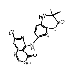 CC1(C)Nc2ccc(Nc3nc(Cl)cc4nc[nH]c(=O)c34)nc2OC1=O